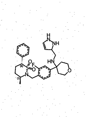 C[C@H]1CC[C@H](c2ccccc2)S(=O)(=O)N1Cc1ccc(C2(NCC3C=CNN3)CCOCC2)cc1F